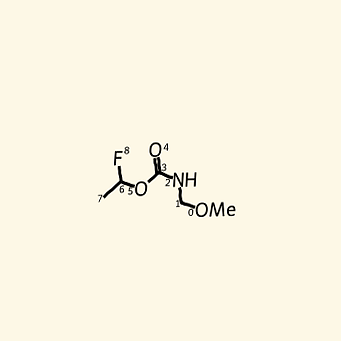 COCNC(=O)OC(C)F